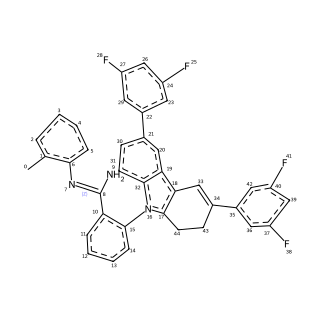 Cc1ccccc1/N=C(\N)c1ccccc1-n1c2c(c3cc(-c4cc(F)cc(F)c4)ccc31)C=C(c1cc(F)cc(F)c1)CC2